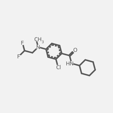 CN(CC(F)F)c1ccc(C(=O)NC2CCCCC2)c(Cl)c1